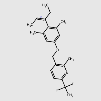 C/C=C(/CC)c1c(C)cc(OCc2ccc(C(C)(F)F)nc2C)cc1C